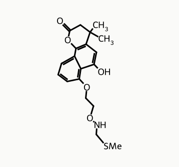 CSCNOCCOc1cccc2c3c(cc(O)c12)C(C)(C)CC(=O)O3